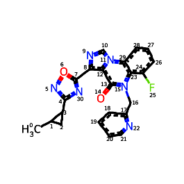 CC1CC1c1noc(-c2ncn3c2c(=O)n(Cc2ccccn2)c2c(F)cccc23)n1